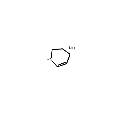 C1=CNCCC1.N